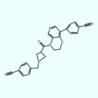 N#Cc1ccc(CN2CC(C(=O)N3CCOc4c(-c5ccc(C#N)cc5)cncc43)C2)cc1